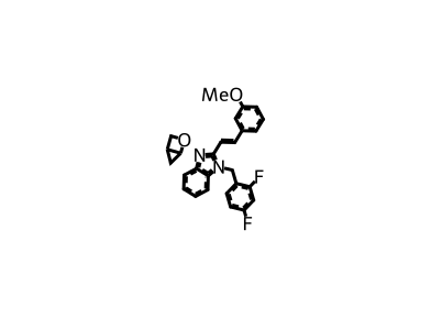 C1OC2CC12.COc1cccc(C=Cc2nc3ccccc3n2Cc2ccc(F)cc2F)c1